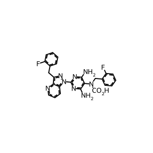 Nc1nc(-n2nc(Cc3ccccc3F)c3ncccc32)nc(N)c1N(Cc1ccccc1F)C(=O)O